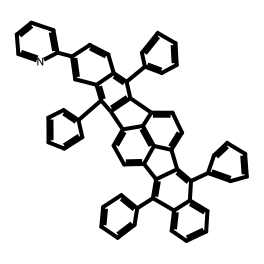 c1ccc(-c2c3c(c(-c4ccccc4)c4ccccc24)-c2ccc4c5c(ccc-3c25)-c2c-4c(-c3ccccc3)c3cc(-c4ccccn4)ccc3c2-c2ccccc2)cc1